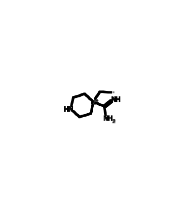 [CH2]C[N+]1(C(=N)N)CCNCC1